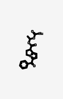 CC(OC(=O)C1CCn2c(C(=O)c3ccccc3)ccc21)OC(=O)C(C)(C)C